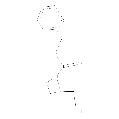 O=C(OCc1ccccc1)N1CC[C@@H]1CO